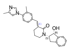 Cc1cn(-c2ccc(/C=C3\CCCN([C@H]4Cc5ccccc5[C@H]4O)C3=O)cc2C)cn1